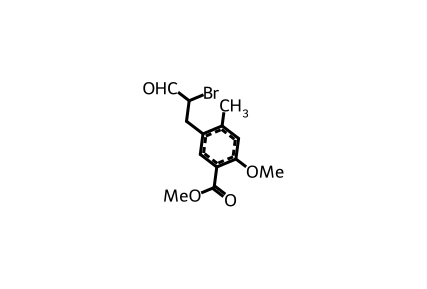 COC(=O)c1cc(CC(Br)C=O)c(C)cc1OC